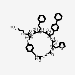 O=C(O)CCNC(=O)[C@@H]1Cc2ccc(cc2)NC(=O)CCC(=O)N[C@H](Cc2cccs2)C(=O)N[C@@H](Cc2ccc(-c3ccccc3)cc2)C(=O)N[C@H](CCc2ccccc2)C(=O)N1